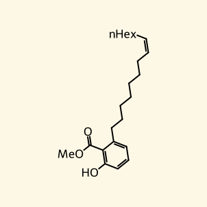 CCCCCC/C=C\CCCCCCCc1cccc(O)c1C(=O)OC